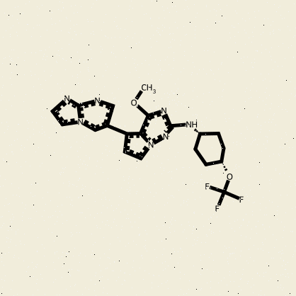 COc1nc(N[C@H]2CC[C@@H](OC(F)(F)F)CC2)nn2ccc(-c3cnc4nccn4c3)c12